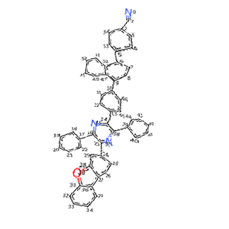 N#Cc1ccc(-c2ccc(-c3ccc(-c4nc(-c5ccccc5)c(-c5ccc6c(c5)oc5ccccc56)nc4-c4ccccc4)cc3)c3ccccc23)cc1